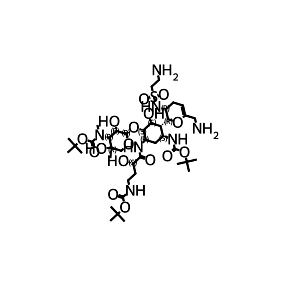 CN(C(=O)OC(C)(C)C)[C@@H]1[C@@H](O)[C@@H](O[C@H]2[C@H](NC(=O)[C@@H](O)CCNC(=O)OC(C)(C)C)C[C@H](NC(=O)OC(C)(C)C)C([C@H]3OC(CN)=CC[C@H]3NS(=O)(=O)CCN)[C@@H]2O)OC[C@]1(C)O